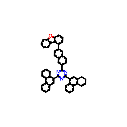 C1=Cc2c(cc(-c3nc(-c4ccc5cc(-c6cccc7oc8ccccc8c67)ccc5c4)nc(-c4cc5ccccc5c5ccccc45)n3)c3ccccc23)CC1